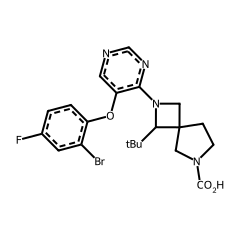 CC(C)(C)C1N(c2ncncc2Oc2ccc(F)cc2Br)CC12CCN(C(=O)O)C2